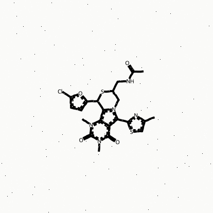 CC(=O)NCC1Cn2c(-c3nc(C)cs3)c3c(=O)n(C)c(=O)n(C)c3c2C(c2ccc(Cl)o2)S1